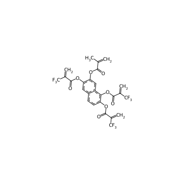 C=C(C)C(=O)Oc1cc2c(OC(=O)C(=C)C(F)(F)F)c(OC(=O)C(=C)C(F)(F)F)ccc2cc1OC(=O)C(=C)C(F)(F)F